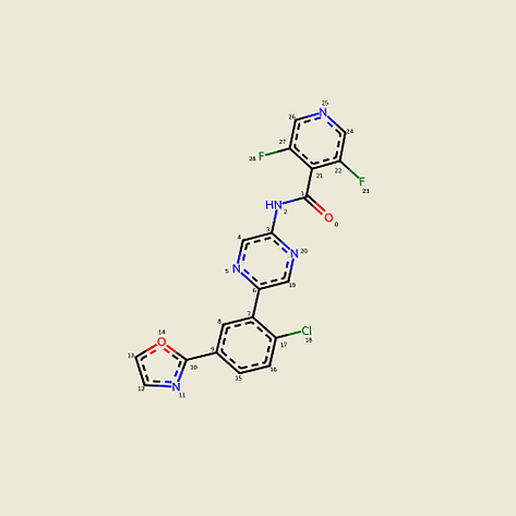 O=C(Nc1cnc(-c2cc(-c3ncco3)ccc2Cl)cn1)c1c(F)cncc1F